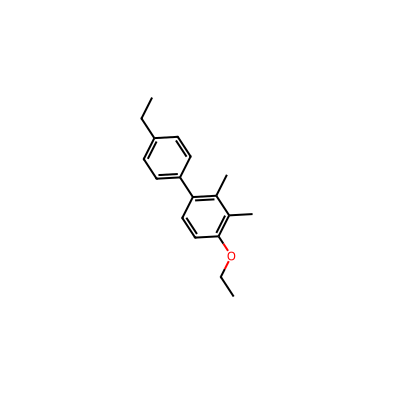 CCOc1ccc(-c2ccc(CC)cc2)c(C)c1C